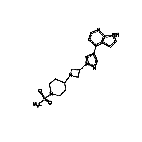 CS(=O)(=O)N1CCC(N2CC(n3cc(-c4ccnc5[nH]ccc45)cn3)C2)CC1